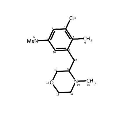 CNc1cc(Cl)c(C)c(CC2COCCN2C)c1